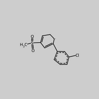 CS(=O)(=O)C1=CC[CH]C(c2cccc(Cl)c2)=C1